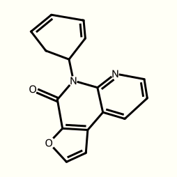 O=c1c2occc2c2cccnc2n1C1C=CC=CC1